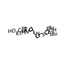 CCC(CC)(CC(=O)Nc1cccc(C=Cc2cccc(CSc3cc(C(C)(C)C)c(O)c(C(C)(C)C)c3)n2)c1)C(=O)O